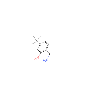 CC(C)(C)c1ccc(CN)c(O)c1